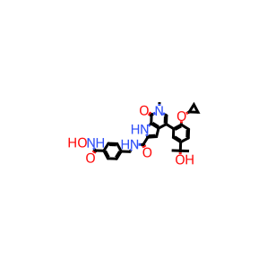 Cn1cc(-c2cc(C(C)(C)O)ccc2OC2CC2)c2cc(C(=O)NCc3ccc(C(=O)NO)cc3)[nH]c2c1=O